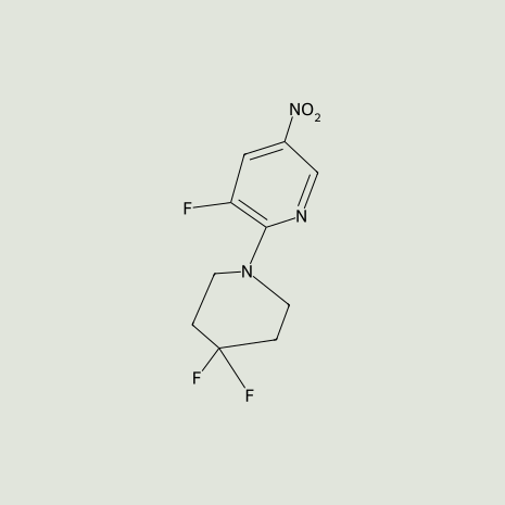 O=[N+]([O-])c1cnc(N2CCC(F)(F)CC2)c(F)c1